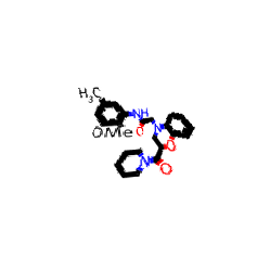 COc1ccc(C)cc1NC(=O)CN1CC(C(=O)N2CCCCC2)Oc2ccccc21